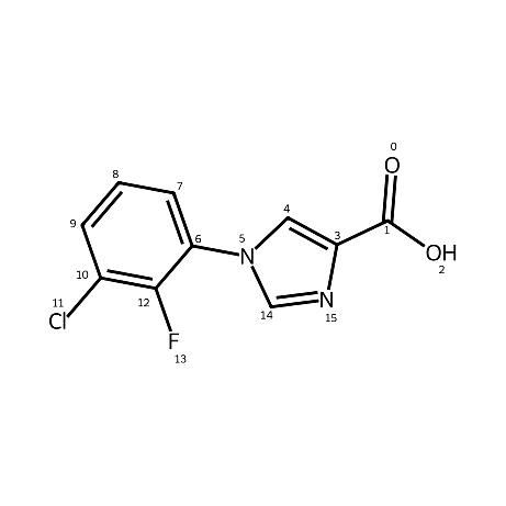 O=C(O)c1cn(-c2cccc(Cl)c2F)cn1